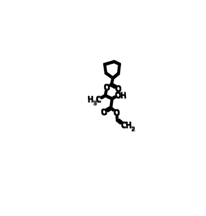 C=COC(=O)C(O)C(C)OC(=O)C1CCCCC1